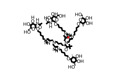 CC(=O)N[C@H]1[C@H](OCCCCCn2cc(CN(CCCC[C@H](C(=O)C(C)(C)C)N(Cc3cn(CCCCCO[C@@H]4O[C@H](CO)[C@H](O)[C@H](O)[C@H]4C)nn3)Cc3cn(CCCCCO[C@@H]4O[C@H](CO)[C@H](O)[C@H](O)[C@H]4NC(C)=O)nn3)Cc3cn(CCCCCO[C@@H]4C[C@H](CO)[C@H](O)[C@H](O)[C@H]4C)nn3)nn2)O[C@H](CO)[C@H](O)[C@@H]1O